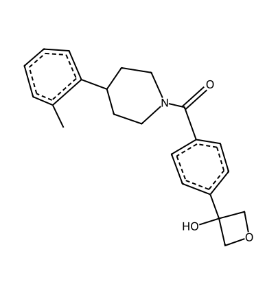 Cc1ccccc1C1CCN(C(=O)c2ccc(C3(O)COC3)cc2)CC1